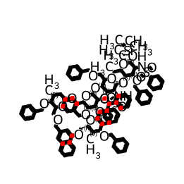 CCC1O[C@H](O[Si](C)(C)C(C)(C)C)C(NS(=O)(=O)c2ccccc2)[C@@H](OCc2ccccc2)[C@@H]1O[C@@H]1OC(COCc2ccccc2)[C@@H](O[C@@H]2OC(CO[C@@H]3C[C@@H](C)[C@H](OCc4ccccc4)C(COCc4ccccc4)O3)[C@@H](OCc3ccccc3)[C@H](O[C@@H]3CC(OCc4ccccc4)[C@H](C)[C@H](COCc4ccccc4)O3)C2OCc2ccccc2)[C@@H](OCc2ccccc2)C1NS(=O)(=O)c1ccccc1